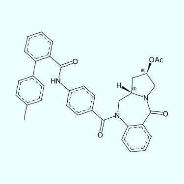 CC(=O)O[C@@H]1C[C@H]2CN(C(=O)c3ccc(NC(=O)c4ccccc4-c4ccc(C)cc4)cc3)c3ccccc3C(=O)N2C1